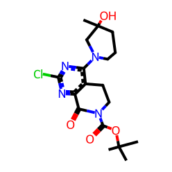 CC1(O)CCCN(c2nc(Cl)nc3c2CCN(C(=O)OC(C)(C)C)C3=O)C1